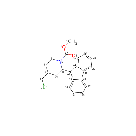 COC(=O)N1CCC(CBr)CC1C1c2ccccc2-c2ccccc21